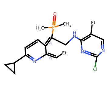 CC/C=c1/nc(C2CC2)cc/c1=C(/CNc1nc(Cl)ncc1CC)P(C)(C)=O